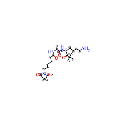 CC(NC(=O)CCCCCN1C(=O)C=CC1=O)C(=O)NC(CCCCN)C(=O)C(C)(C)C